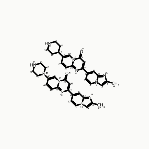 Cc1cn2ccc(-c3cc(=O)n4cc(C5CCNCC5)ccc4n3)cc2n1.Cc1cn2ccc(-c3cc(=O)n4cc(N5CCNCC5)ccc4n3)cc2n1